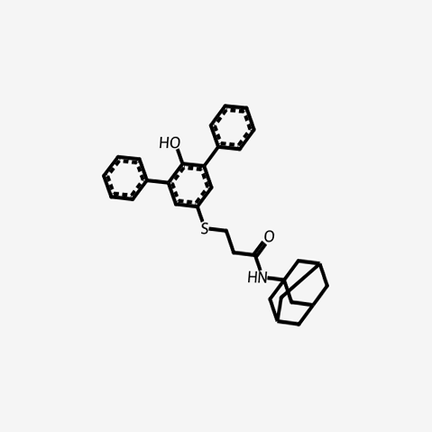 O=C(CCSc1cc(-c2ccccc2)c(O)c(-c2ccccc2)c1)NC12CC3CC(CC(C3)C1)C2